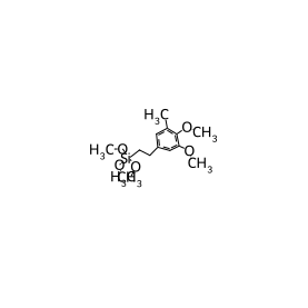 COc1cc(CC[Si](OC)(OC)OC)cc(C)c1OC